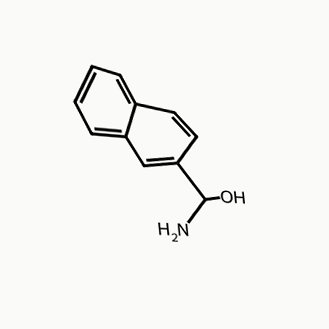 NC(O)c1ccc2ccccc2c1